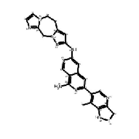 Cc1c(-c2cc3cc(Nc4cc5n(n4)Cc4nccn4CC5)ncc3c(N)n2)cnc2c1NSC2